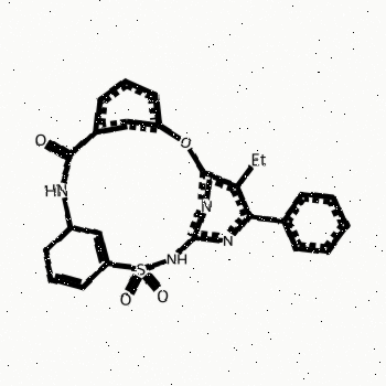 CCc1c2nc(nc1-c1ccccc1)NS(=O)(=O)C1=CC(CC=C1)NC(=O)c1cccc(c1)O2